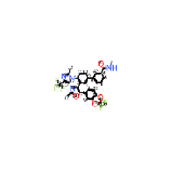 CNC(=O)c1cccc(-c2ccc(-n3cc(C(F)(F)F)nc3C)c(-c3nc(C)oc3-c3ccc4c(c3)OC(F)(F)O4)c2)c1